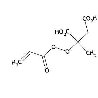 C=CC(=O)OOC(C)(CC(=O)O)C(=O)O